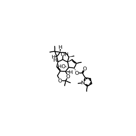 CC1=C[C@]23C(O)[C@@H](C=C4COC(C)(C)O[C@H]4[C@]2(O)[C@H]1OC(=O)c1ccc(C)n1C)[C@H]1[C@@H](C[C@H]3C)C1(C)C